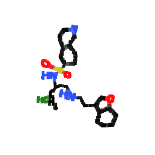 CC(CNCCc1coc2ccccc12)NS(=O)(=O)c1ccc2cnccc2c1.Cl